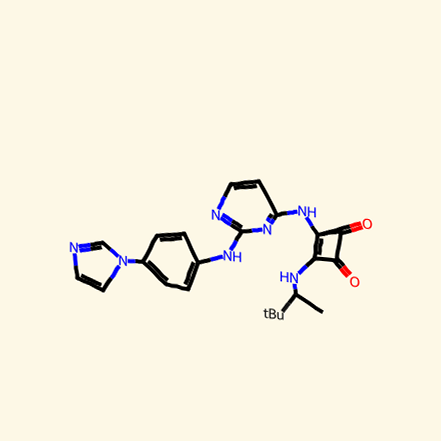 CC(Nc1c(Nc2ccnc(Nc3ccc(-n4ccnc4)cc3)n2)c(=O)c1=O)C(C)(C)C